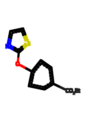 CCOC(=O)c1ccc(Oc2nccs2)cc1